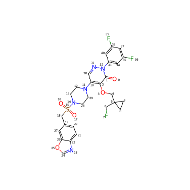 O=c1c(OCC2(CF)CC2)c(N2CCN(S(=O)(=O)Cc3ccc4ncoc4c3)CC2)cnn1-c1cc(F)cc(F)c1